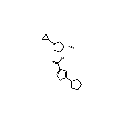 C[C@H]1CN(C2CC2)C[C@H]1NC(=O)c1cc(C2CCCC2)on1